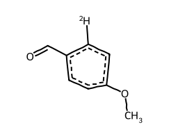 [2H]c1cc(OC)ccc1C=O